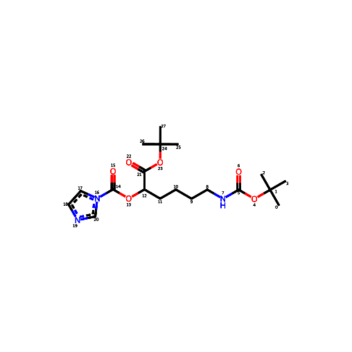 CC(C)(C)OC(=O)NCCCCC(OC(=O)n1ccnc1)C(=O)OC(C)(C)C